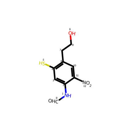 O=CNc1cc(S)c(CCO)cc1[N+](=O)[O-]